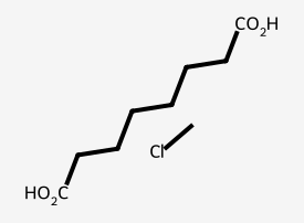 CCl.O=C(O)CCCCCCC(=O)O